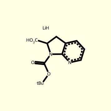 CC(C)(C)OC(=O)N1c2ncccc2CC1C(=O)O.[LiH]